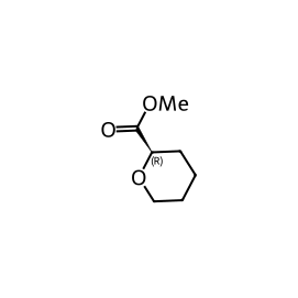 COC(=O)[C@H]1CCCCO1